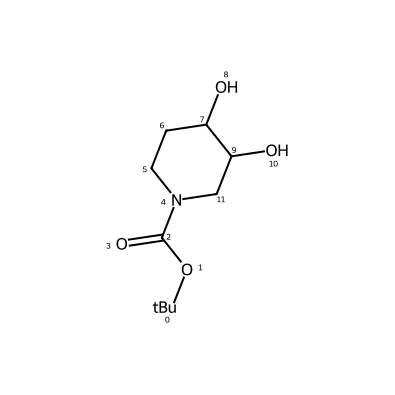 CC(C)(C)OC(=O)N1CCC(O)C(O)C1